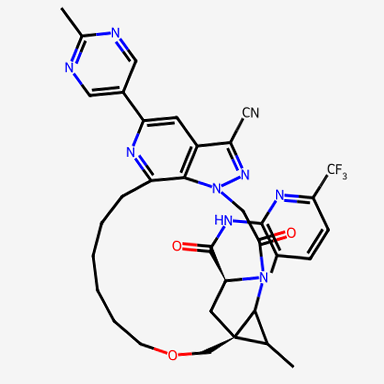 Cc1ncc(-c2cc3c(C#N)nn4c3c(n2)CCCCCCOC[C@@]23C[C@@H](C(=O)Nc5nc(C(F)(F)F)ccc5C)N(C(=O)C4)C2C3C)cn1